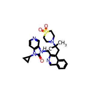 CC(C)(Cc1c(Cn2c(=O)n(C3CC3)c3ccncc32)ncc2ccccc12)N1CCS(=O)(=O)CC1